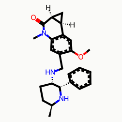 COc1cc2c(cc1CN[C@H]1CC[C@H](C)N[C@H]1c1ccccc1)N(C)C(=O)[C@H]1C[C@@H]21